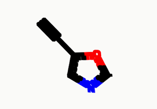 C#Cc1cn[c]o1